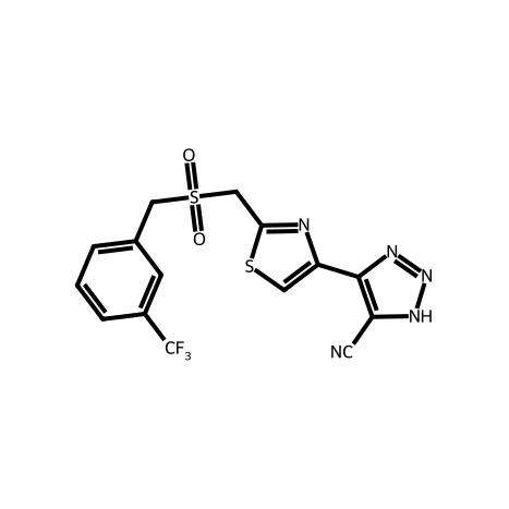 N#Cc1[nH]nnc1-c1csc(CS(=O)(=O)Cc2cccc(C(F)(F)F)c2)n1